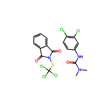 CN(C)C(=O)Nc1ccc(Cl)c(Cl)c1.O=C1c2ccccc2C(=O)N1SC(Cl)(Cl)Cl